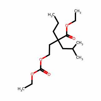 CCCC(CCOC(=O)OCC)(CC(C)C)C(=O)OCC